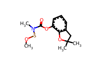 COSN(C)C(=O)Oc1cccc2c1OC(C)(C)C2